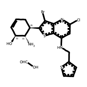 N[C@@H]1[C@@H](O)C=CC[C@H]1c1sc2c(NCc3cccs3)cc(Cl)nc2c1Br.O=CO